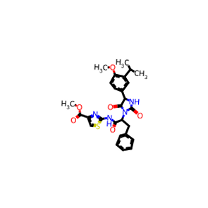 COC(=O)c1csc(NC(=O)C(Cc2ccccc2)N2C(=O)NC(c3ccc(OC)c(C(C)C)c3)C2=O)n1